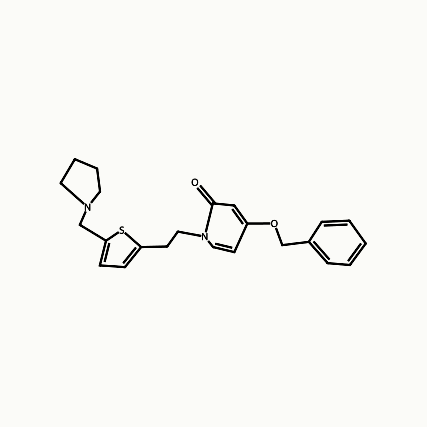 O=c1cc(OCc2ccccc2)ccn1CCc1ccc(CN2CCCC2)s1